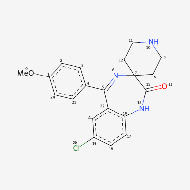 COc1ccc(C2=NC3(CCNCC3)C(=O)Nc3ccc(Cl)cc32)cc1